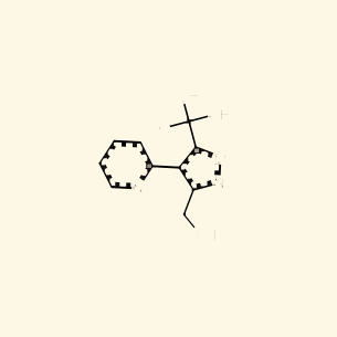 CCc1noc(C(C)(C)O)c1-c1ccccn1